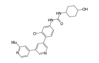 CC(C)(C)c1cc(-c2cncc(-c3ccc(NC(=O)NC4CCC(O)CC4)cc3Cl)c2)ccn1